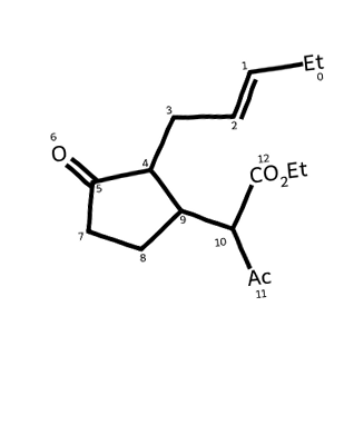 CCC=CCC1C(=O)CCC1C(C(C)=O)C(=O)OCC